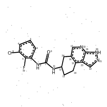 O=C(Nc1cccc(Cl)c1F)NC1CCc2c(cnc3[nH]ncc23)C1